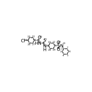 CN(c1ccccc1)S(=O)(=O)c1ccc(NC(=S)NC(=O)c2ccc(Cl)cc2)cc1